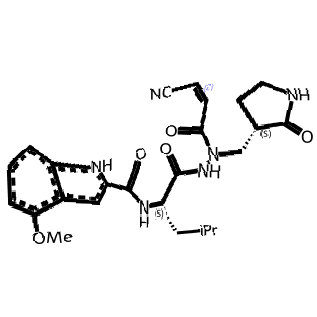 COc1cccc2[nH]c(C(=O)N[C@@H](CC(C)C)C(=O)NN(C[C@@H]3CCNC3=O)C(=O)/C=C\C#N)cc12